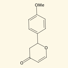 COc1ccc(C2CC(=O)C=CO2)cc1